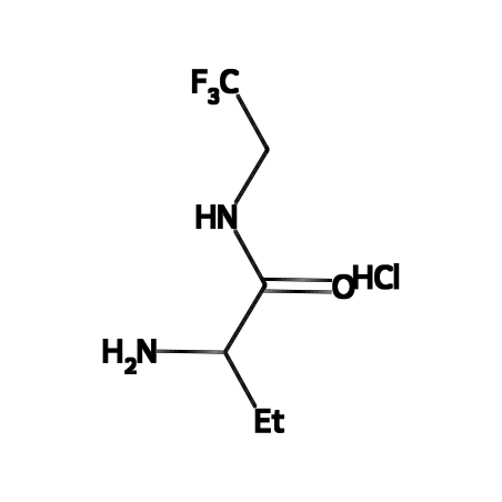 CCC(N)C(=O)NCC(F)(F)F.Cl